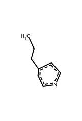 CC[CH]c1ccncc1